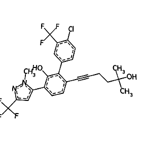 Cn1nc(C(F)(F)F)cc1-c1ccc(C#CCCC(C)(C)O)c(-c2ccc(Cl)c(C(F)(F)F)c2)c1O